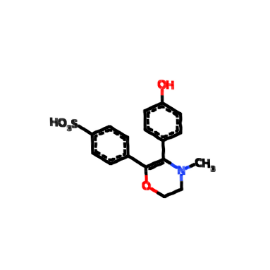 CN1CCOC(c2ccc(S(=O)(=O)O)cc2)=C1c1ccc(O)cc1